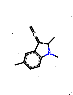 C=C=C1c2cc(C)ccc2N(C)C1C